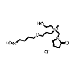 CCCCCCCCCCCCCCOCCC[N+](C)(CCO)CN1CCCC1=O.[Cl-]